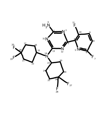 Nc1nc(-c2nc(F)ccc2F)nc(N(C2CCC(F)(F)CC2)C2CCC(F)(F)CC2)n1